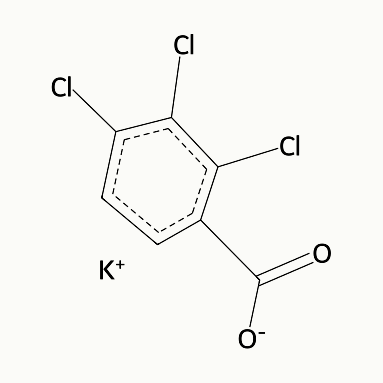 O=C([O-])c1ccc(Cl)c(Cl)c1Cl.[K+]